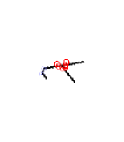 CCCC/C=C\C/C=C\CCCCCCCC(=O)OC[C@@H](COC(=O)CCCCCCCCCCC)OC(=O)CCCCCCCCCCC